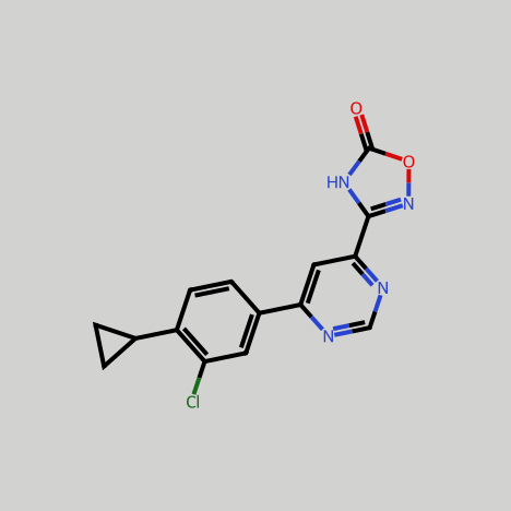 O=c1[nH]c(-c2cc(-c3ccc(C4CC4)c(Cl)c3)ncn2)no1